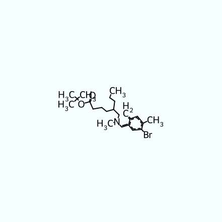 C=c1cc(C)c(Br)c/c1=C/N(C)CC(CCC)CCCC(=O)OC(C)(C)C